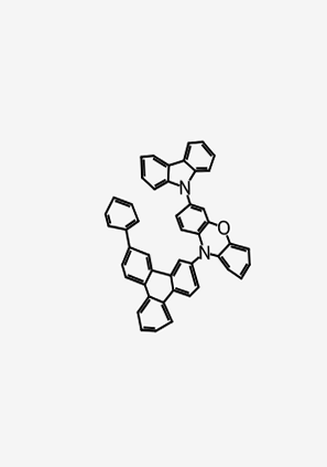 c1ccc(-c2ccc3c4ccccc4c4ccc(N5c6ccccc6Oc6cc(-n7c8ccccc8c8ccccc87)ccc65)cc4c3c2)cc1